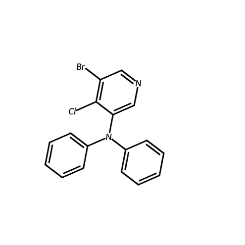 Clc1c(Br)cncc1N(c1ccccc1)c1ccccc1